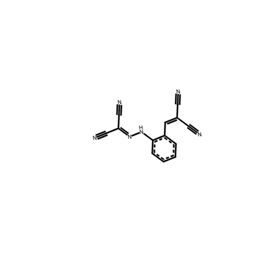 N#CC(C#N)=Cc1ccccc1NN=C(C#N)C#N